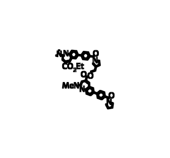 CCOC(=O)C1=Cc2cc(-c3ccc(C(=O)N4CCC(CCOC(=O)C5=Cc6cc(-c7ccc(C(=O)N8CCCC8)cc7)ccc6N=C(NC)C5)C4)cc3)ccc2N=C(N(C)C)C1